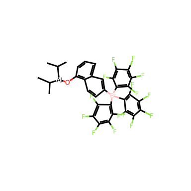 C[CH](C)[Al]([O]c1cccc2cc([B-](c3c(F)c(F)c(F)c(F)c3F)(c3c(F)c(F)c(F)c(F)c3F)c3c(F)c(F)c(F)c(F)c3F)ccc12)[CH](C)C